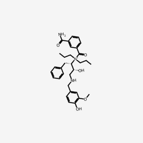 CCC[N+](CCC)(C(=O)c1cccc(C(N)=O)c1)[C@@H](Cc1ccccc1)[C@H](O)CNCc1ccc(O)c(OC)c1